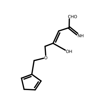 N=C(C=O)/C=C(\O)COCC1=CCC=C1